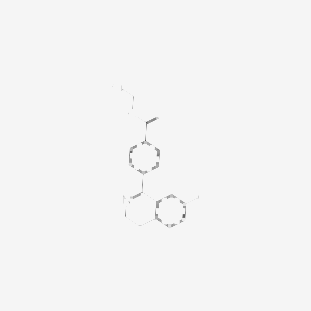 CC(C)(C)COC(=O)c1ccc(C2=NCCc3ccc(Cl)cc32)cc1